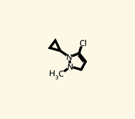 CN1CC=C(Cl)N1C1CC1